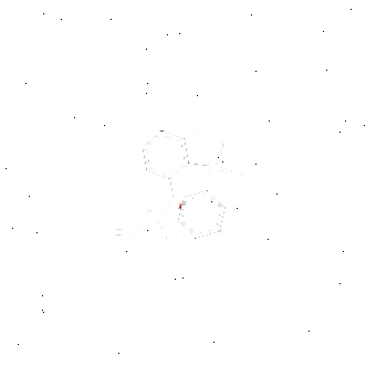 O=[P@@]1(c2ccccc2)COc2cccc(OS(=O)(=O)C(F)(F)F)c21